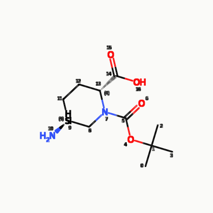 CC(C)(C)OC(=O)N1C[Si@@H](N)CC[C@@H]1C(=O)O